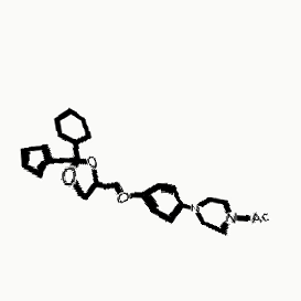 CC(=O)N1CCN(c2ccc(OCC3COC(C4=CC=CC4)(C4CCCCC4)O3)cc2)CC1